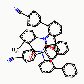 Cc1cccc(-n2c3c(-c4ccc(C#N)cc4)cccc3c3cccc(-c4ccc(C#N)cc4)c32)c1C(=O)N(C=O)c1cccc(-c2ccccc2)c1-c1ccccc1